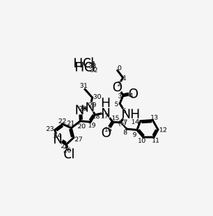 CCOC(=O)CN[C@@H](Cc1ccccc1)C(=O)Nc1cc(-c2ccnc(Cl)c2)nn1CC.Cl.Cl